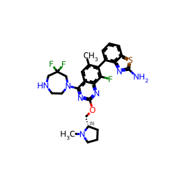 Cc1cc2c(N3CCNCC(F)(F)C3)nc(OC[C@@H]3CCCN3C)nc2c(F)c1-c1cccc2sc(N)nc12